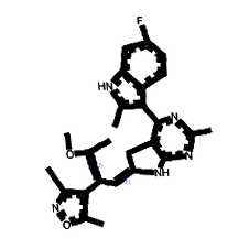 CO/C(C)=C(/C=C1\Cc2c(nc(C)nc2-c2c(C)[nH]c3cc(F)ccc23)N1)c1c(C)noc1C